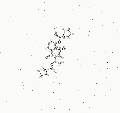 O=C(Oc1cccc2c1[n+]([O-])c1cccc(OC(=O)N3CCCC3)c1[n+]2[O-])N1CCCC1